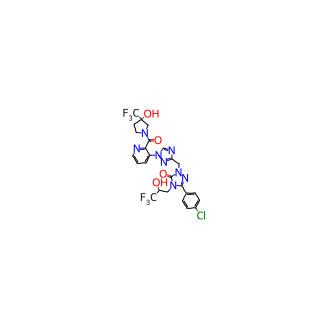 O=C(c1ncccc1-n1cnc(Cn2nc(-c3ccc(Cl)cc3)n(CC(O)C(F)(F)F)c2=O)n1)N1CCC(O)(C(F)(F)F)C1